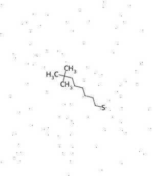 CC(C)(C)CCCCCC[S]